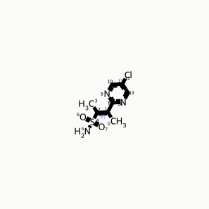 C/C(=C(/C)S(N)(=O)=O)c1ncc(Cl)cn1